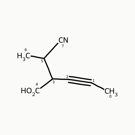 CC#CC(C(=O)O)C(C)C#N